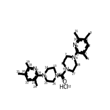 Cc1cc(C)c(N2CCN(C(=O)N3CCN(c4nc(C)c(C)cc4C)CC3)CC2)nc1C.Cl